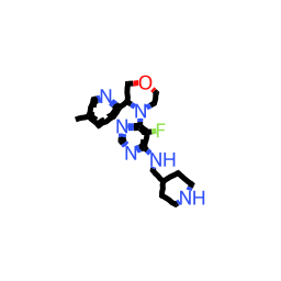 Cc1ccc(C2COCCN2c2ncnc(NCC3CCNCC3)c2F)nc1